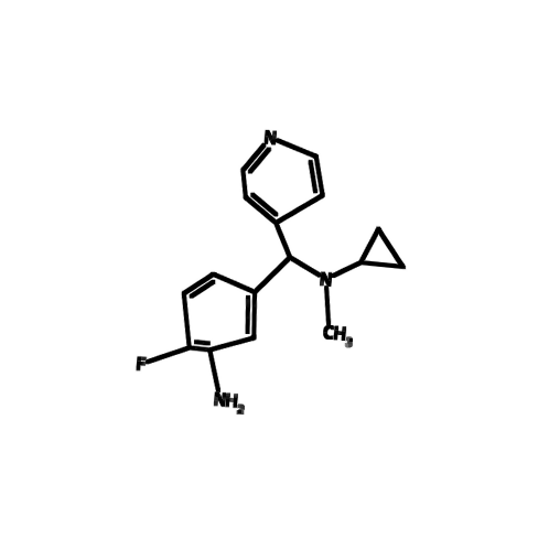 CN(C1CC1)C(c1ccncc1)c1ccc(F)c(N)c1